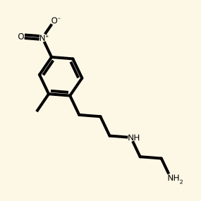 Cc1cc([N+](=O)[O-])ccc1CCCNCCN